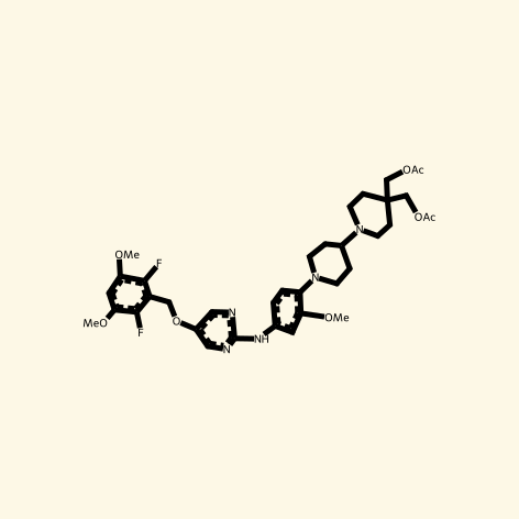 COc1cc(Nc2ncc(OCc3c(F)c(OC)cc(OC)c3F)cn2)ccc1N1CCC(N2CCC(COC(C)=O)(COC(C)=O)CC2)CC1